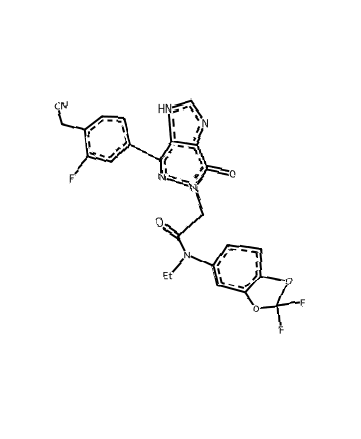 CCN(C(=O)Cn1nc(-c2ccc(CC#N)c(F)c2)c2[nH]cnc2c1=O)c1ccc2c(c1)OC(F)(F)O2